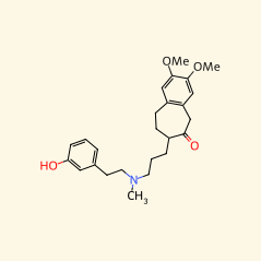 COc1cc2c(cc1OC)CC(=O)C(CCCN(C)CCc1cccc(O)c1)CC2